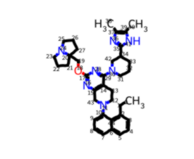 CCc1cccc2cccc(N3CCc4c(nc(OCC56CCCN5CCC6)nc4N4CCCC(c5nc(C)c(C)[nH]5)C4)C3)c12